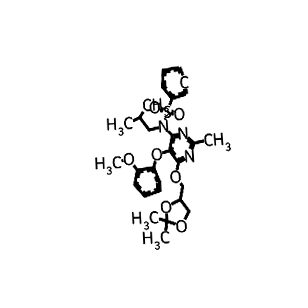 COc1ccccc1Oc1c(OCC2COC(C)(C)O2)nc(C)nc1N(CC(C)C)S(=O)(=O)c1ccccc1